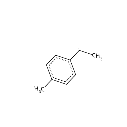 C[C]c1ccc(C)cc1